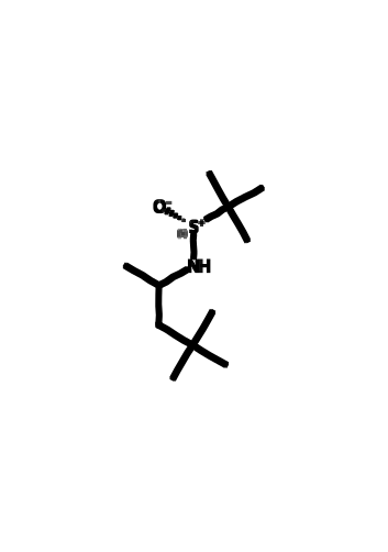 CC(CC(C)(C)C)N[S@+]([O-])C(C)(C)C